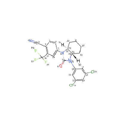 N#Cc1ccc(N2C(=O)N(c3cc(Cl)cc(Cl)c3)[C@H]3CCCC[C@@H]32)cc1C(F)(F)F